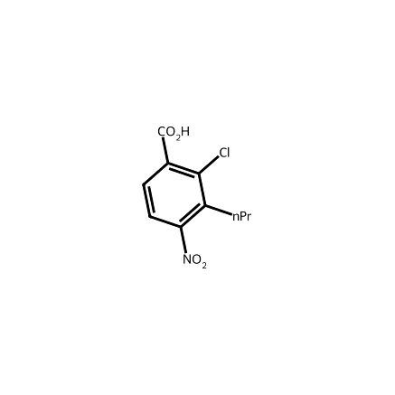 CCCc1c([N+](=O)[O-])ccc(C(=O)O)c1Cl